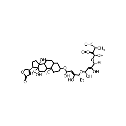 CC[C@@H](O[C@H](O)/C=C(\O)[C@@H](CC)O[C@H](O)C(=C=O)[C@H](C)C=O)/C(O)=C/[C@@H](O)O[C@H]1CC[C@@]2(C)C(CCC3C2C[C@H](O)[C@]2(C)[C@@H](C4=CC(=O)OC4)CC[C@]32O)C1